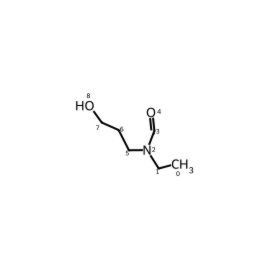 CCN([C]=O)CCCO